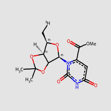 [3H]C[C@H]1O[C@@H](n2c(C(=O)OC)cc(=O)[nH]c2=O)C2OC(C)(C)O[C@H]21